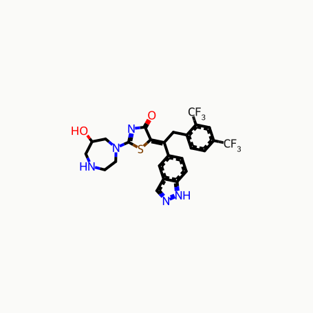 O=C1N=C(N2CCNCC(O)C2)SC1=C(Cc1ccc(C(F)(F)F)cc1C(F)(F)F)c1ccc2[nH]ncc2c1